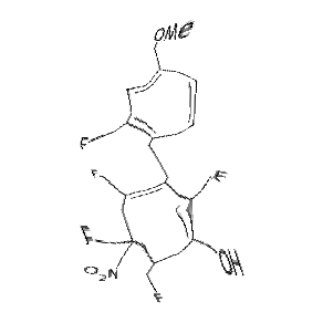 COc1ccc(C2=C(F)C(F)([N+](=O)[O-])C(F)C(O)=C2F)c(F)c1